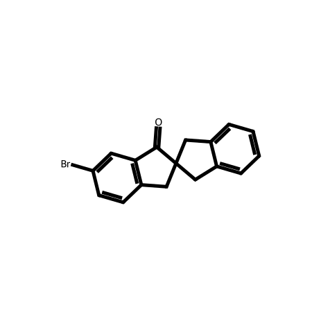 O=C1c2cc(Br)ccc2CC12Cc1ccccc1C2